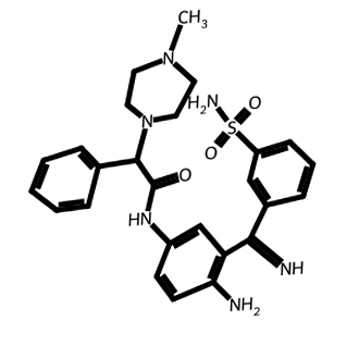 CN1CCN(C(C(=O)Nc2ccc(N)c(C(=N)c3cccc(S(N)(=O)=O)c3)c2)c2ccccc2)CC1